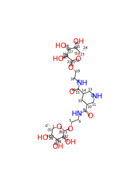 C[C@@H]1O[C@@H](OCCNC(=O)C2CNCC(C(=O)NCCO[C@@H]3O[C@@H](C)[C@@H](O)[C@@H](O)[C@@H]3O)C2)[C@@H](O)[C@H](O)[C@@H]1O